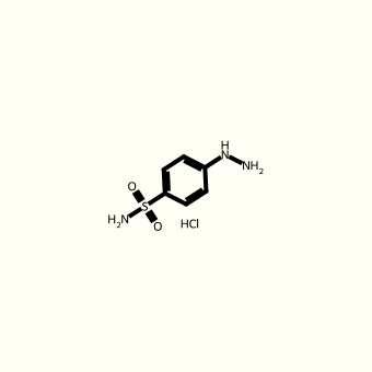 Cl.NNc1ccc(S(N)(=O)=O)cc1